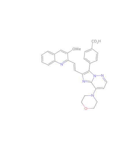 COc1cc2ccccc2nc1C=Cc1nc2c(N3CCOCC3)ccnn2c1-c1ccc(C(=O)O)cc1